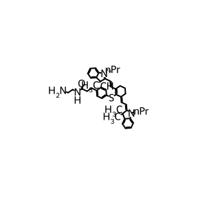 CCCN1/C(=C/C=C2\CCCC(/C=C/C3=[N+](CCC)c4ccccc4C3(C)C)=C2Sc2ccc(CCC(=O)NCCN)cc2)C(C)(C)c2ccccc21